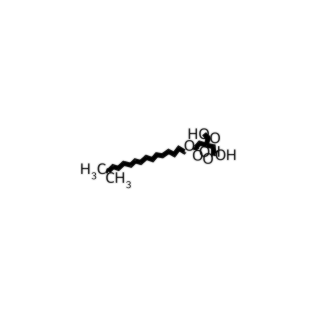 CC(C)CCCCCCCCCCCCCCOC(=O)CC(O)(CC(=O)O)C(=O)O